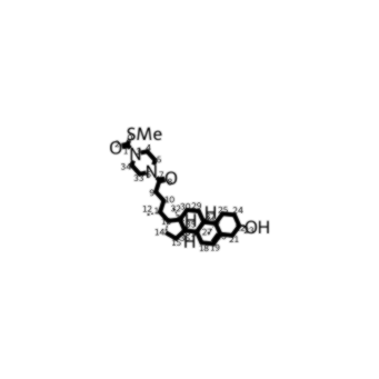 CSC(=O)N1CCN(C(=O)CC[C@@H](C)[C@H]2CC[C@H]3[C@@H]4CC=C5C[C@@H](O)CC[C@]5(C)[C@H]4CC[C@]23C)CC1